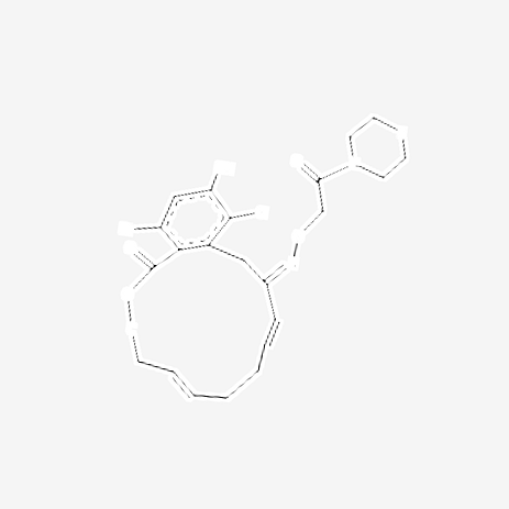 CCc1cc(O)c(Cl)c2c1C(=O)OCC/C=C/CC/C=C/C(=N/OCC(=O)N1CCSCC1)C2